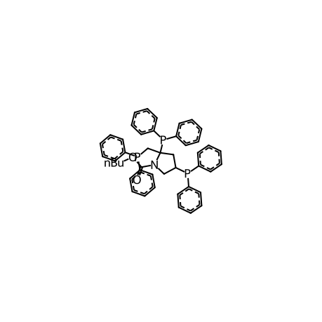 CCCCOC(=O)N1CC(P(c2ccccc2)c2ccccc2)CC1(CP(c1ccccc1)c1ccccc1)P(c1ccccc1)c1ccccc1